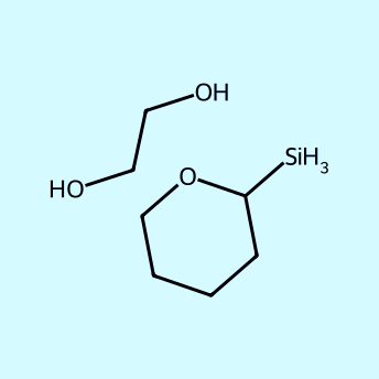 OCCO.[SiH3]C1CCCCO1